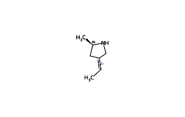 C/C=C1/CN[C@H](C)C1